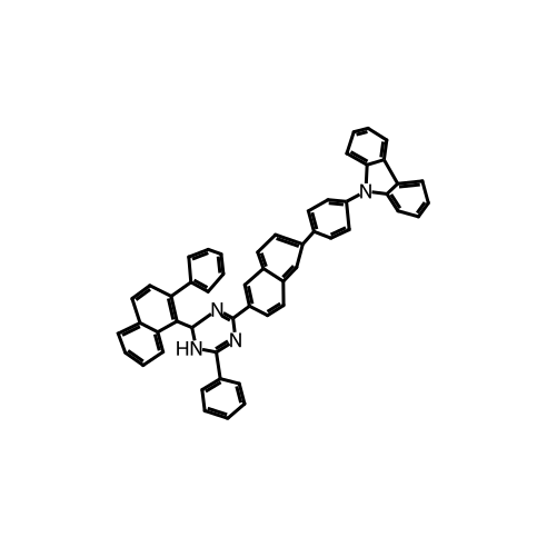 c1ccc(C2=NC(c3ccc4cc(-c5ccc(-n6c7ccccc7c7ccccc76)cc5)ccc4c3)=NC(c3c(-c4ccccc4)ccc4ccccc34)N2)cc1